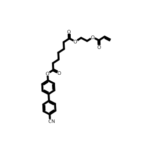 C=CC(=O)OCCOC(=O)CCCCCC(=O)Oc1ccc(-c2ccc(C#N)cc2)cc1